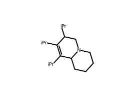 CC(C)C1=C(C(C)C)C2CCCCN2CC1C(C)C